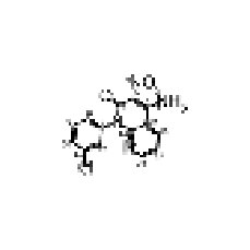 Nc1c([N+](=O)[O-])c(=O)n(-c2cccc(Cl)c2)c2ncccc12